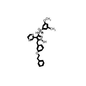 COc1cc(C)cc(S(=O)(=O)Nc2nn(S)c(Cc3cccc(OCCc4ccccc4)c3)c2-c2cnccn2)c1